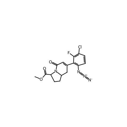 COC(=O)C1CCC2CC(c3c(N=[N+]=[N-])ccc(Cl)c3F)=CC(=O)N21